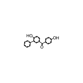 O=C(c1ccc(O)cc1)c1ccc(O)c(-c2ccccc2)c1